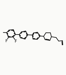 C=CCCC1C=CC(c2ccc(-c3ccc(-c4ccc(C)c(F)c4F)cc3)cc2)CC1